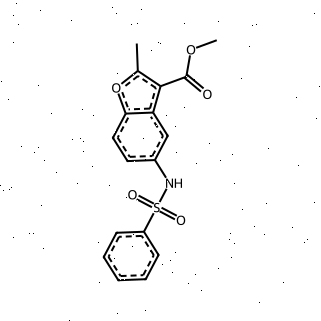 COC(=O)c1c(C)oc2ccc(NS(=O)(=O)c3ccccc3)cc12